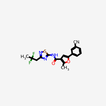 Cc1oc(-c2cccc(C#N)c2)cc1C(=O)Nc1nc(CC(C)(F)F)ns1